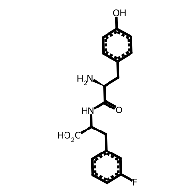 N[C@@H](Cc1ccc(O)cc1)C(=O)NC(Cc1cccc(F)c1)C(=O)O